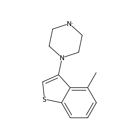 Cc1cccc2scc(N3CC[N]CC3)c12